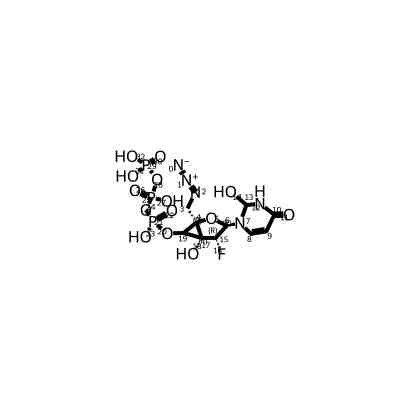 [N-]=[N+]=NC[C@]12O[C@@H](N3C=CC(=O)NC3O)[C@H](F)[C@@]1(O)C2OP(=O)(O)OP(=O)(O)OP(=O)(O)O